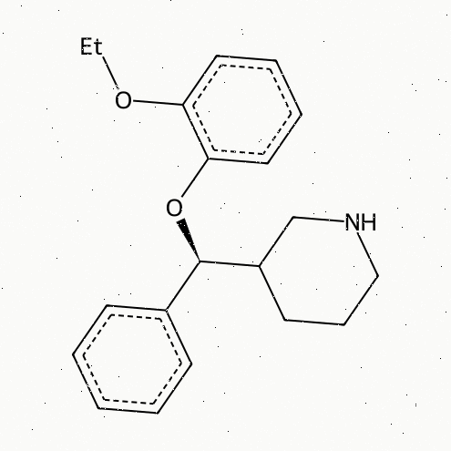 CCOc1ccccc1O[C@H](c1ccccc1)C1CCCNC1